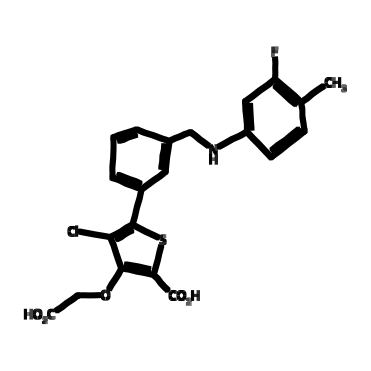 Cc1ccc(NCc2cccc(-c3sc(C(=O)O)c(OCC(=O)O)c3Cl)c2)cc1F